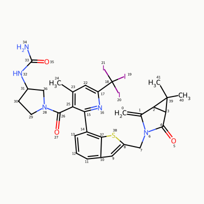 C=C1C2C(C(=O)N1Cc1cc3cccc(-c4nc(C(I)(I)I)cc(C)c4C(=O)N4CCC(NC(N)=O)C4)c3s1)C2(C)C